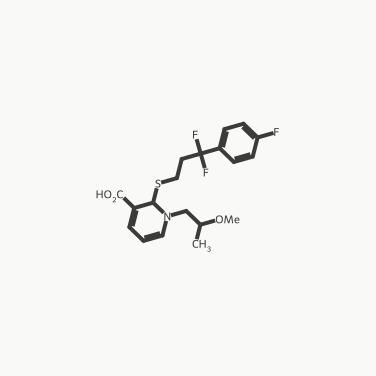 COC(C)CN1C=CC=C(C(=O)O)C1SCCC(F)(F)c1ccc(F)cc1